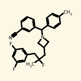 Cc1ccc(C(c2cccc(C#N)c2)N2CC(CC(C)(F)Cc3cc(F)cc(F)c3)C2)cc1